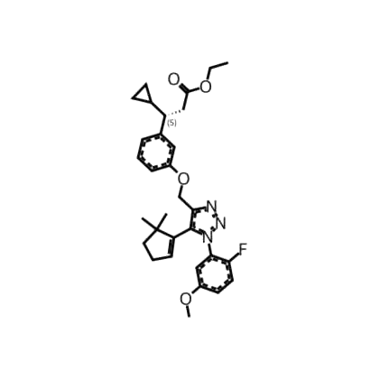 CCOC(=O)C[C@H](c1cccc(OCc2nnn(-c3cc(OC)ccc3F)c2C2=CCCC2(C)C)c1)C1CC1